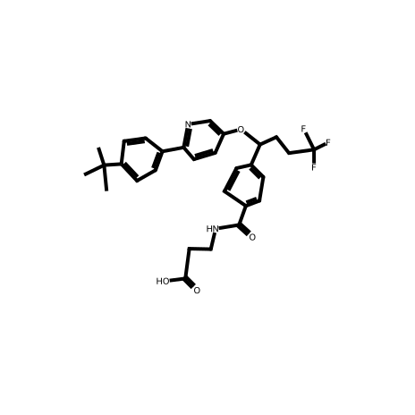 CC(C)(C)c1ccc(-c2ccc(OC(CCC(F)(F)F)c3ccc(C(=O)NCCC(=O)O)cc3)cn2)cc1